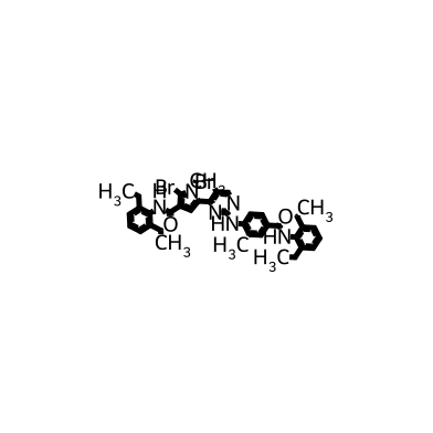 CCc1cccc(CC)c1NC(=O)c1ccc(Nc2ncc(Br)c(-c3cc(C(=O)Nc4c(CC)cccc4CC)c(Br)n3C)n2)c(C)c1